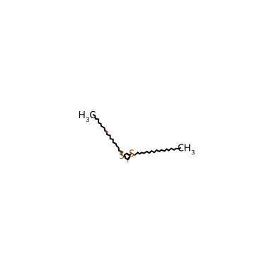 CCCCCCCCCCCCCCCCCCCCSc1c[c]cc(SCCCCCCCCCCCCCCCCCCCC)c1